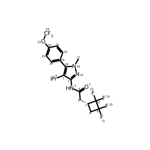 CC(C)c1c(NC(=O)C[C@H]2CC(F)(F)C2(F)F)nn(C)c1-c1ccc(OC(F)(F)F)cc1